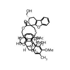 COC1=C(O)C2(C)C(C=C1C)C[C@H]1[C@H](O)N3[C@@H]([C@@H]4SC[C@]5(N[C@H](CO)Cc6c5oc5ccccc65)C(=O)OC[C@H]3c3c5c(c(C)c(OC(C)=O)c34)OCO5)[C@@H]2N1C